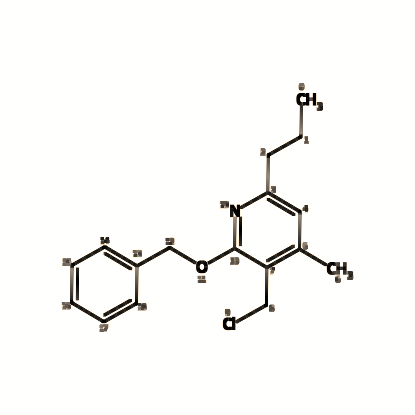 CCCc1cc(C)c(CCl)c(OCc2ccccc2)n1